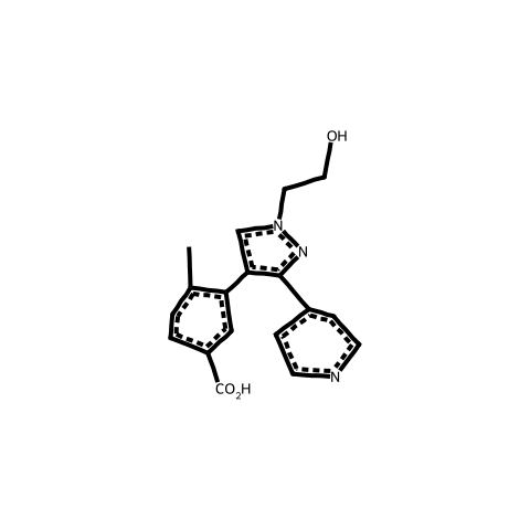 Cc1ccc(C(=O)O)cc1-c1cn(CCO)nc1-c1ccncc1